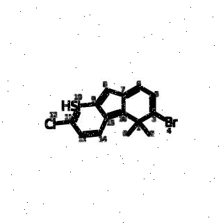 CC1(C)C(Br)=CC=C2C=c3[siH]c(Cl)ccc3=C21